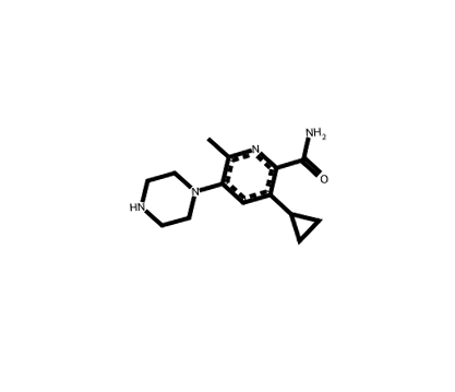 Cc1nc(C(N)=O)c(C2CC2)cc1N1CCNCC1